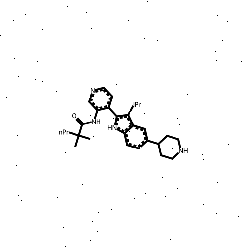 CCCC(C)(C)C(=O)Nc1cnccc1-c1[nH]c2ccc(C3CCNCC3)cc2c1C(C)C